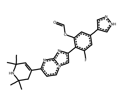 CC1(C)C=C(c2ccn3cc(-c4c(F)cc(-c5cn[nH]c5)cc4OC=O)nc3n2)CC(C)(C)N1